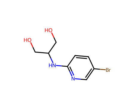 OCC(CO)Nc1ccc(Br)cn1